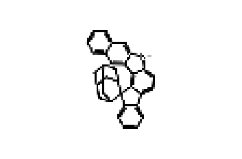 c1ccc2c(c1)-c1ccc3[nH]c4cc5ccccc5cc4c3c1C21C2CC3CC(C2)CC1C3